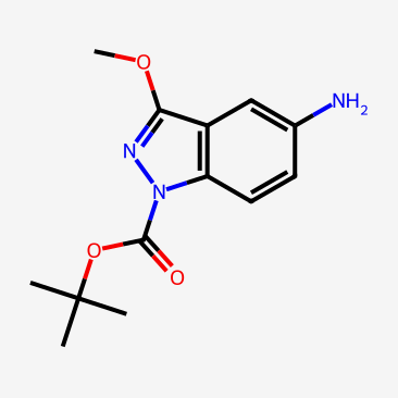 COc1nn(C(=O)OC(C)(C)C)c2ccc(N)cc12